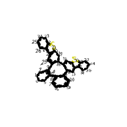 c1ccc2c(c1)-c1ccccc1-c1cc3c(cc1-c1cc4sc5ccccc5c4cc1-2)sc1ccccc13